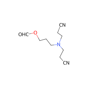 N#CCCN(CCC#N)CCCOC=O